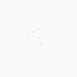 CC(C)(O)C(C)(C)OBc1ccc(C2=NC(c3ccccc3)NC(c3ccccc3)=N2)cc1